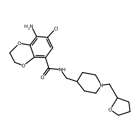 Nc1c(Cl)cc(C(=O)NCC2CCN(CC3CCCO3)CC2)c2c1OCCO2